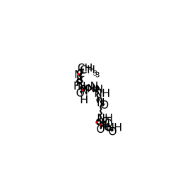 CC1(C)CCN(Cc2cc(F)c(N3CC(=O)NC4(CCN(c5cc(NCC6CCN(C(=O)CCCCCNc7cccc8c7C(=O)N(C7CCC(=O)NC7=O)C8=O)CC6)ncn5)CC4)C3)cc2F)CC1